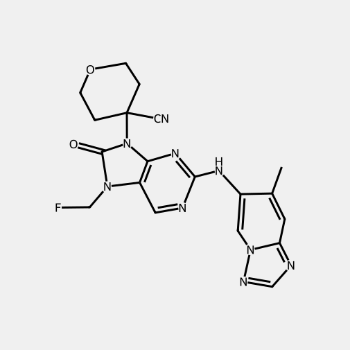 Cc1cc2ncnn2cc1Nc1ncc2c(n1)n(C1(C#N)CCOCC1)c(=O)n2CF